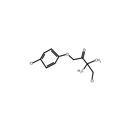 CC(C)(CCl)C(=O)COc1ccc(Cl)cc1